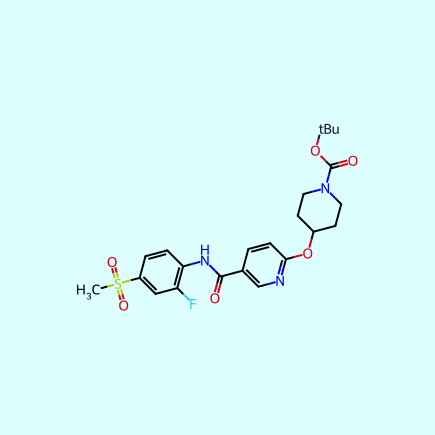 CC(C)(C)OC(=O)N1CCC(Oc2ccc(C(=O)Nc3ccc(S(C)(=O)=O)cc3F)cn2)CC1